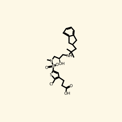 CN(C[C@H](O)CNC(C)(C)CC1Cc2ccccc2C1)S(=O)(=O)c1cc(CCC(=O)O)c(Cl)s1